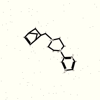 C1=CC2CC1CC2CN1CCN(c2cnccn2)CC1